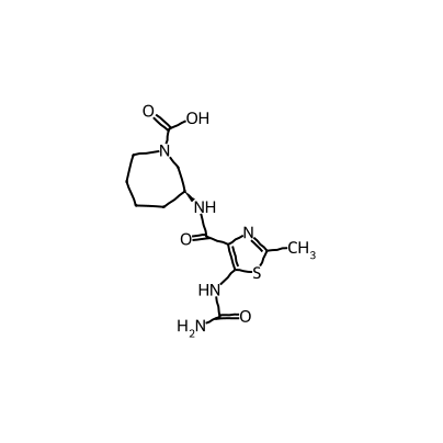 Cc1nc(C(=O)N[C@H]2CCCCN(C(=O)O)C2)c(NC(N)=O)s1